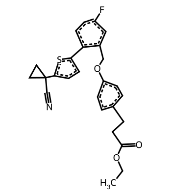 CCOC(=O)CCc1ccc(OCc2cc(F)ccc2-c2ccc(C3(C#N)CC3)s2)cc1